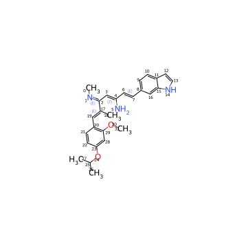 C/N=C(\C=C(N)\C=C\c1ccc2cc[nH]c2c1)C(/C)=C/c1ccc(OC(C)C)cc1OC